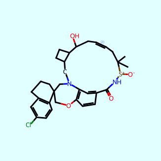 CC1(C)C/C=C\CC(O)C2CCC2CN2CC3(CCCc4cc(Cl)ccc43)COc3ccc(cc32)C(=O)N[S+]1[O-]